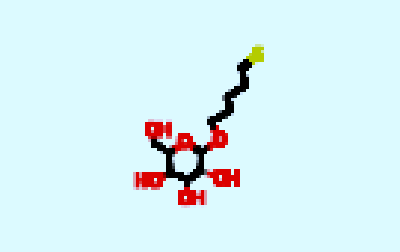 OC[C@H]1O[C@@H](OCCCCC=S)[C@H](O)[C@@H](O)[C@H]1O